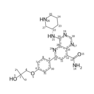 CC(C)(O)COc1ccc(-c2cc(C(N)=O)c3ncnc(N[C@H]4CCCNC4)c3n2)cc1